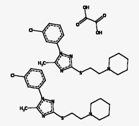 Cc1nc(SCCN2CCCCC2)nn1-c1cccc(Cl)c1.Cc1nc(SCCN2CCCCC2)nn1-c1cccc(Cl)c1.O=C(O)C(=O)O